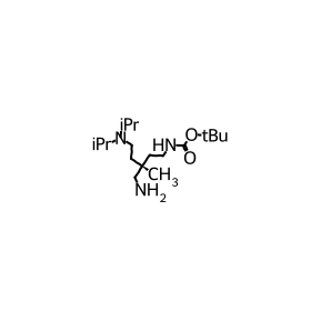 CC(C)N(CC[C@@](C)(CN)CCNC(=O)OC(C)(C)C)C(C)C